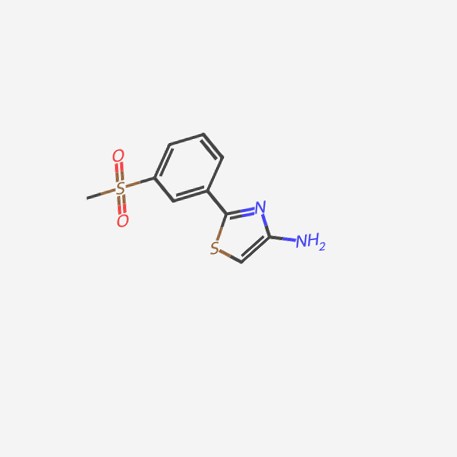 CS(=O)(=O)c1cccc(-c2nc(N)cs2)c1